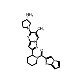 Cc1cn2nc([C@@H]3CCCCN3C(=O)c3cn4cccc4s3)cc2nc1N1CC[C@H](N)C1